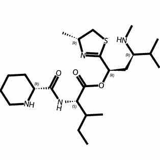 CCC(C)[C@H](NC(=O)[C@H]1CCCCN1)C(=O)O[C@H](C[C@@H](NC)C(C)C)C1=N[C@H](C)CS1